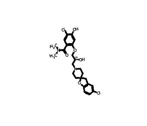 CN(C)C(=O)c1cc(Cl)c(O)cc1OC[C@@H](O)CN1CCC2(CC1)Cc1cc(Cl)ccc1O2